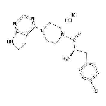 Cl.Cl.N[C@H](Cc1ccc(Cl)cc1)C(=O)N1CCN(c2ncnc3c2CCN3)CC1